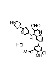 COc1cc(-c2ccc3ncc(CC=O)c(Nc4ccc(N5CCNCC5)nc4)c3c2)cc(Cl)c1O.Cl